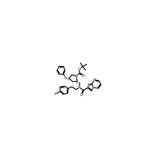 CC(C)(C)OC(=O)N1C[C@@H](Oc2ccccc2)C[C@H]1CN(CCc1ccc(F)cc1)C(=O)c1cn2cccnc2n1